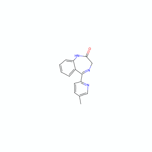 Cc1ccc(C2=NCC(=O)Nc3ccccc32)nc1